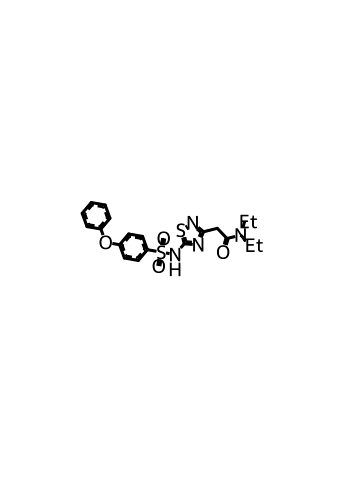 CCN(CC)C(=O)Cc1nsc(NS(=O)(=O)c2ccc(Oc3ccccc3)cc2)n1